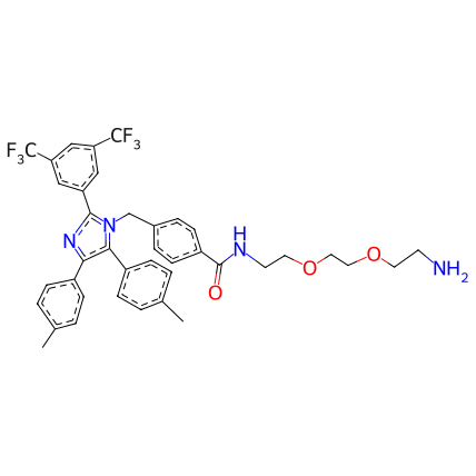 Cc1ccc(-c2nc(-c3cc(C(F)(F)F)cc(C(F)(F)F)c3)n(Cc3ccc(C(=O)NCCOCCOCCN)cc3)c2-c2ccc(C)cc2)cc1